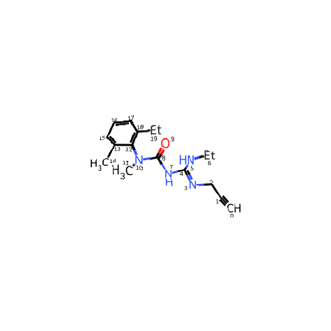 C#CCN=C(NCC)NC(=O)N(C)c1c(C)cccc1CC